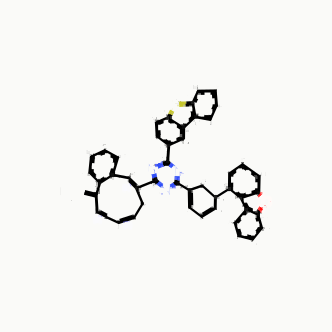 C=C1/C=C\C=C/C/C(c2nc(C3=CC=CC(c4cccc5oc6ccccc6c45)C3)nc(-c3ccc4sc5ccccc5c4c3)n2)=C\c2ccccc21